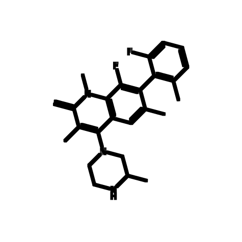 C=C1C(C)=C(N2CCNC(C)C2)c2cc(C)c(-c3c(C)cccc3F)c(F)c2N1C